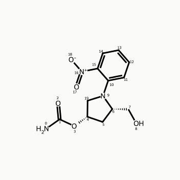 NC(=O)O[C@H]1C[C@@H](CO)N(c2ccccc2[N+](=O)[O-])C1